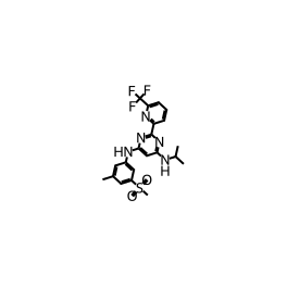 Cc1cc(Nc2cc(NC(C)C)nc(-c3cccc(C(F)(F)F)n3)n2)cc(S(C)(=O)=O)c1